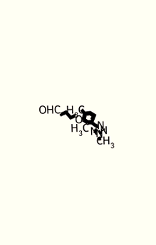 Cc1ccc(-c2nnn(C)n2)c(C)c1OCCCCC=O